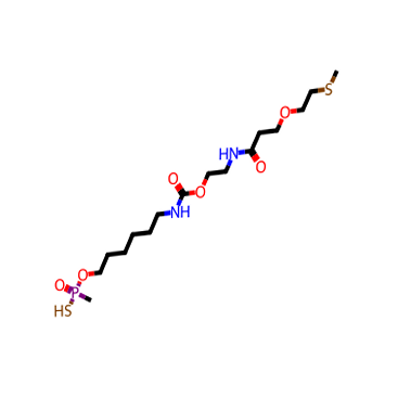 CSCCOCCC(=O)NCCOC(=O)NCCCCCCOP(C)(=O)S